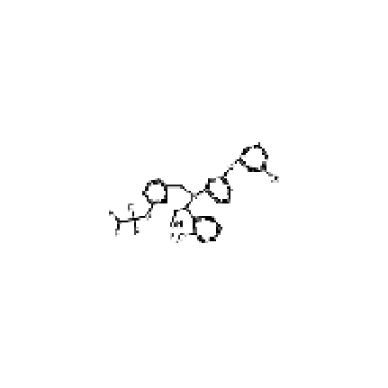 CCc1cccc(Oc2cccc(N(Cc3cccc(OC(F)(F)C(F)F)c3)C(CO)c3ccccc3C(F)(F)F)c2)c1